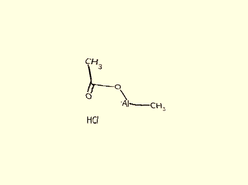 Cl.[CH3][Al][O]C(C)=O